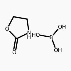 O=C1NCCO1.OB(O)O